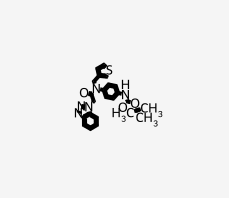 CC(C)(C)OC(=O)Nc1ccc(N(Cc2ccsc2)C(=O)Cn2nnc3ccccc32)cc1